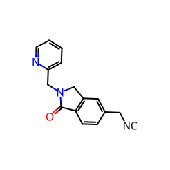 [C-]#[N+]Cc1ccc2c(c1)CN(Cc1ccccn1)C2=O